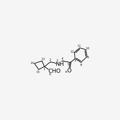 O=CC1(CNCC(=O)c2ccccc2)CCC1